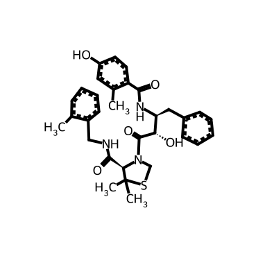 Cc1ccccc1CNC(=O)[C@H]1N(C(=O)[C@@H](O)[C@H](Cc2ccccc2)NC(=O)c2ccc(O)cc2C)CSC1(C)C